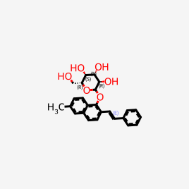 Cc1ccc2c(OC3O[C@H](CO)[C@@H](O)[C@H](O)[C@H]3O)c(/C=C/c3ccccc3)ccc2c1